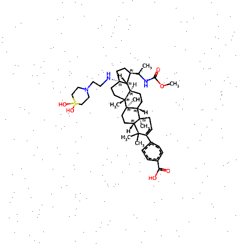 COC(=O)NC(C)[C@@H]1CC[C@]2(NCCN3CCS(O)(O)CC3)CC[C@]3(C)[C@H](CC[C@@H]4[C@@]5(C)CC=C(c6ccc(C(=O)O)cc6)C(C)(C)[C@@H]5CC[C@]43C)[C@@H]12